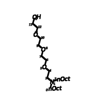 CCCCCCCCN(CCCCCCCC)CCOCCOCCOCCO